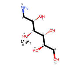 NC[C@H](O)[C@@H](O)[C@H](O)[C@H](O)CO.[MgH2]